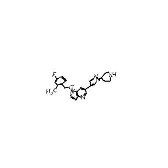 Cc1cc(F)ccc1COn1ccc2ncc(-c3cnn(C4CCNCC4)c3)cc21